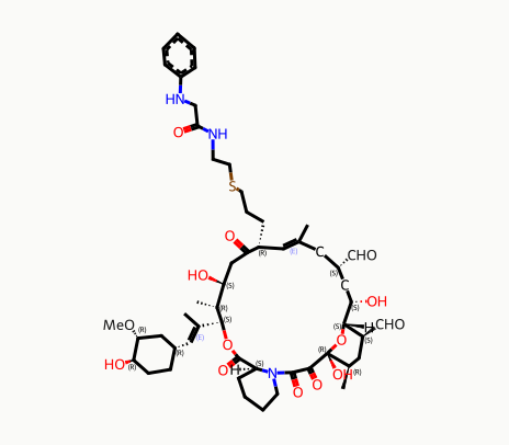 CO[C@@H]1C[C@H](/C=C(\C)[C@H]2OC(=O)[C@@H]3CCCCN3C(=O)C(=O)[C@]3(O)O[C@H]([C@@H](O)C[C@@H](C=O)C/C(C)=C/[C@@H](CCCSCCNC(=O)CNc4ccccc4)C(=O)C[C@H](O)[C@H]2C)[C@@H](C=O)C[C@H]3C)CC[C@H]1O